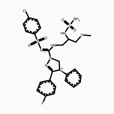 COCC(CN/C(=N\S(=O)(=O)c1ccc(Cl)cc1)N1C[C@@H](c2ccccc2)C(c2ccc(F)cc2)=N1)NS(N)(=O)=O